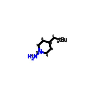 CC(C)(C)CC1CCN(N)CC1